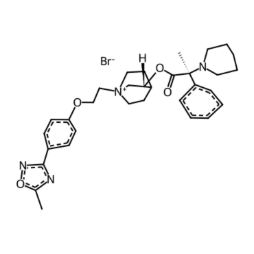 Cc1nc(-c2ccc(OCC[N+]34CCC(CC3)[C@@H](OC(=O)[C@](C)(c3ccccc3)N3CCCCC3)C4)cc2)no1.[Br-]